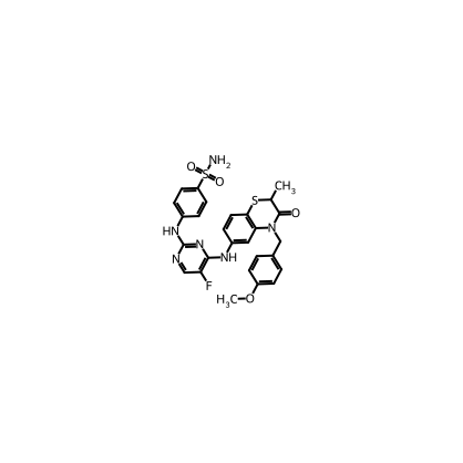 COc1ccc(CN2C(=O)C(C)Sc3ccc(Nc4nc(Nc5ccc(S(N)(=O)=O)cc5)ncc4F)cc32)cc1